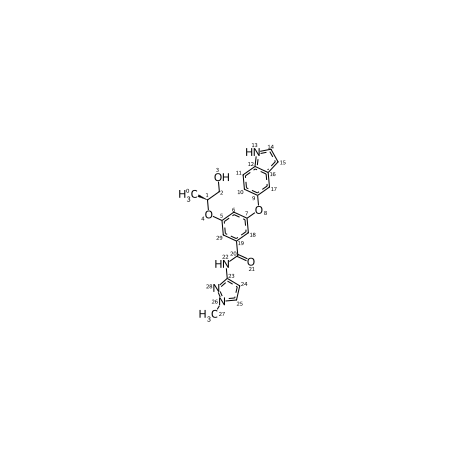 C[C@@H](CO)Oc1cc(Oc2ccc3[nH]ccc3c2)cc(C(=O)Nc2ccn(C)n2)c1